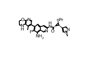 CCC[C@@H]1[C@@H](C(=O)Nc2cc3cc(-c4cnc5c(c4C)NCCO5)c(F)c(N)c3cn2)[C@@H]1c1cnn(C)c1